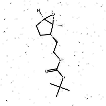 CC(C)(C)OC(=O)NCC[C@H]1CC[C@H]2O[C@@H]12